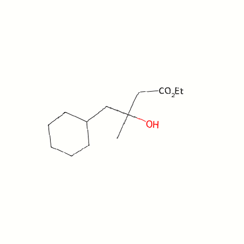 CCOC(=O)CC(C)(O)CC1CCCCC1